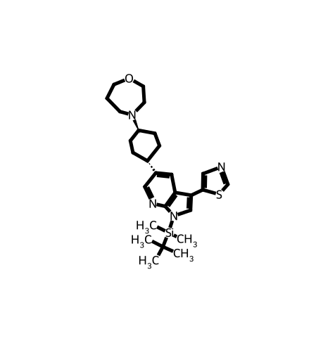 CC(C)(C)[Si](C)(C)n1cc(-c2cncs2)c2cc([C@H]3CC[C@H](N4CCCOCC4)CC3)cnc21